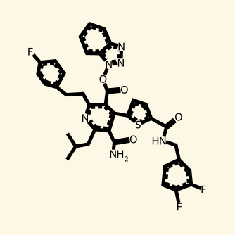 CC(C)Cc1nc(CCc2ccc(F)cc2)c(C(=O)On2nnc3ccccc32)c(-c2ccc(C(=O)NCc3ccc(F)c(F)c3)s2)c1C(N)=O